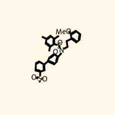 COc1ccccc1CCN(Cc1ccc(-c2cccc(S(C)(=O)=O)c2)cc1)S(=O)(=O)c1c(C)cc(C)cc1C